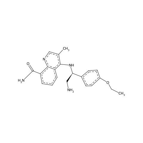 CCOc1ccc([C@@H](CN)Nc2c(C)cnc3c(C(N)=O)cccc23)cc1